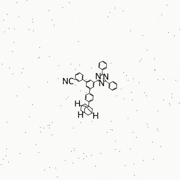 N#Cc1cccc(-c2cc(-c3ccc(C45C[C@H]6C[C@H](C4)C[C@@H](C5)C6)cc3)cc(-c3nc(-c4ccccc4)nc(-c4ccccc4)n3)c2)c1